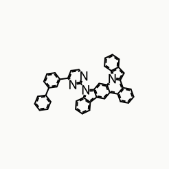 c1ccc(-c2cccc(-c3ccnc(-n4c5ccccc5c5cc6c7ccccc7c7cc8ccccc8n7c6cc54)n3)c2)cc1